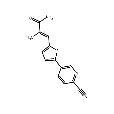 C/C(=C\c1ccc(-c2ccc(C#N)nc2)s1)C(N)=O